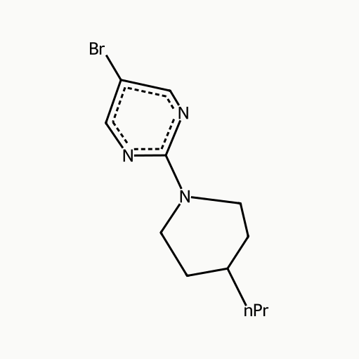 CCCC1CCN(c2ncc(Br)cn2)CC1